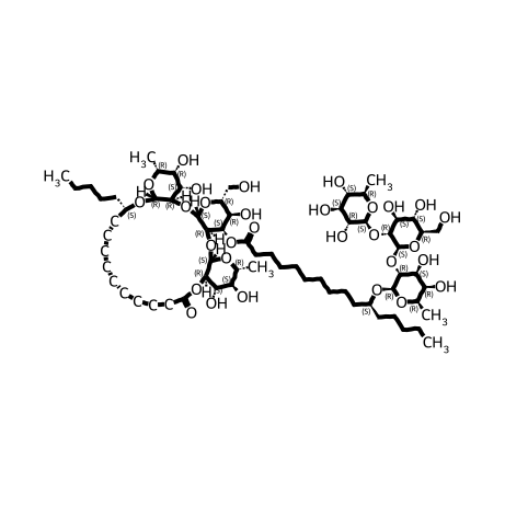 CCCCC[C@@H](CCCCCCCCCC(=O)O[C@H]1[C@H](O)[C@@H](CO)O[C@H]2O[C@H]3[C@H](O[C@@H](CCCCC)CCCCCCCCCC(=O)O[C@H]4[C@H](O[C@@H]21)O[C@H](C)[C@@H](O)[C@@H]4O)O[C@H](C)[C@H](O)[C@@H]3O)O[C@@H]1O[C@H](C)[C@H](O)[C@H](O)[C@H]1O[C@@H]1O[C@H](CO)[C@@H](O)[C@H](O)[C@H]1O[C@@H]1O[C@H](C)[C@@H](O)[C@H](O)[C@H]1O